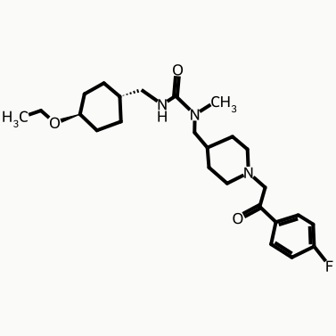 CCO[C@H]1CC[C@H](CNC(=O)N(C)CC2CCN(CC(=O)c3ccc(F)cc3)CC2)CC1